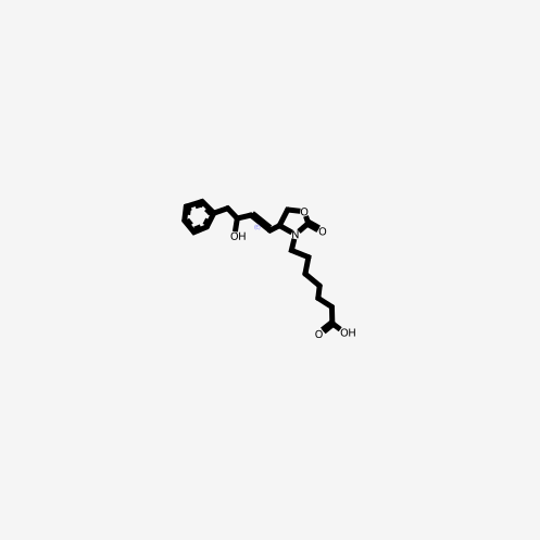 O=C(O)CCCCCCN1C(=O)OCC1/C=C/C(O)Cc1ccccc1